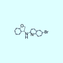 Brc1ccc2nc(NC3COc4ccccc43)ccc2c1